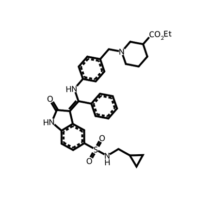 CCOC(=O)C1CCCN(Cc2ccc(N/C(=C3\C(=O)Nc4ccc(S(=O)(=O)NCC5CC5)cc43)c3ccccc3)cc2)C1